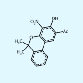 CC(=O)c1cc2c(c([N+](=O)[O-])c1O)OC(C)(C)c1ccccc1-2